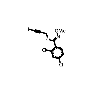 CON=C(OCC#CI)c1ccc(Cl)cc1Cl